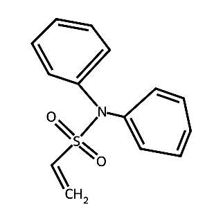 C=CS(=O)(=O)N(c1ccccc1)c1ccccc1